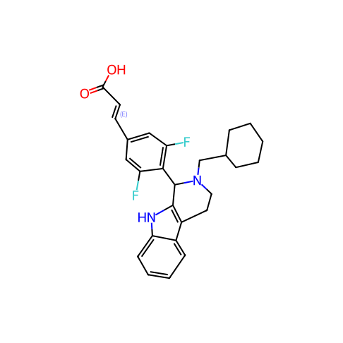 O=C(O)/C=C/c1cc(F)c(C2c3[nH]c4ccccc4c3CCN2CC2CCCCC2)c(F)c1